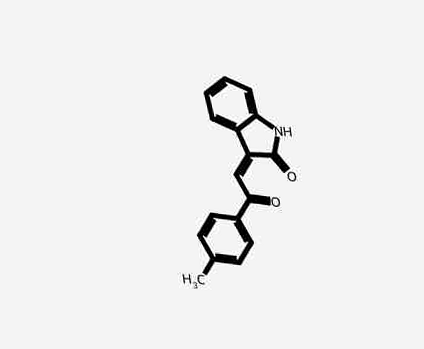 Cc1ccc(C(=O)C=C2C(=O)Nc3ccccc32)cc1